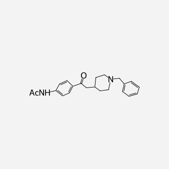 CC(=O)Nc1ccc(C(=O)CC2CCN(Cc3ccccc3)CC2)cc1